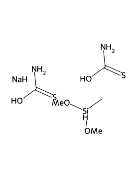 CO[SiH](C)OC.NC(O)=S.NC(O)=S.[NaH]